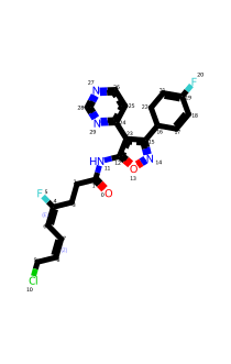 O=C(CC/C(F)=C\C=C/CCl)Nc1onc(C2C=CC(F)=CC2)c1-c1ccncn1